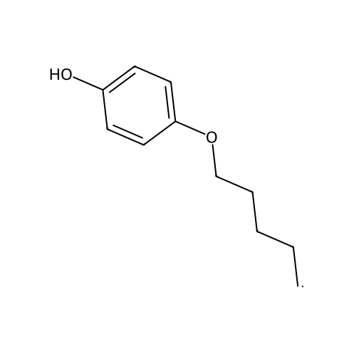 [CH2]CCCCOc1ccc(O)cc1